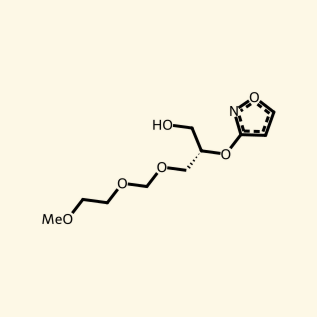 COCCOCOC[C@H](CO)Oc1ccon1